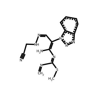 C=N\C(=N/C(N)=C(/C=N\NCC#N)n1nnc2ccccc21)SC